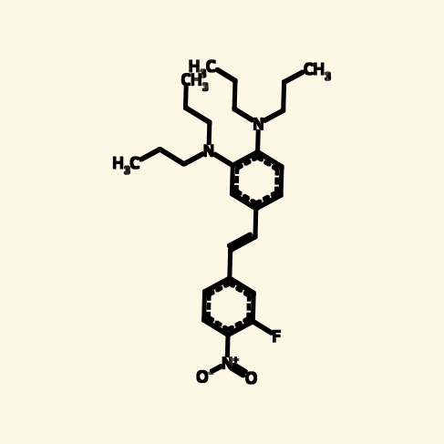 CCCN(CCC)c1ccc(C=Cc2ccc([N+](=O)[O-])c(F)c2)cc1N(CCC)CCC